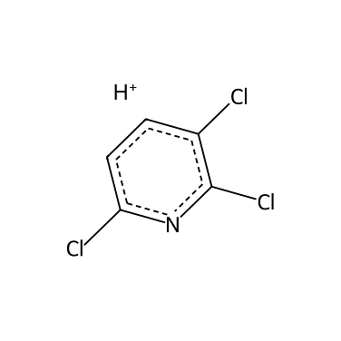 Clc1ccc(Cl)c(Cl)n1.[H+]